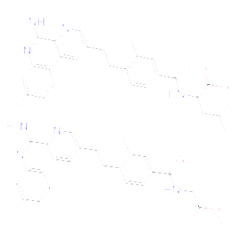 COC(=O)C(CC(C)C)NC(=O)c1ccc(CCc2cnc3c(N)nc4cc(C)ccc4c3c2)c(C)c1.COC(=O)CNC(=O)c1ccc(CCc2cnc3c(N)nc4cc(C)ccc4c3c2)c(C)c1